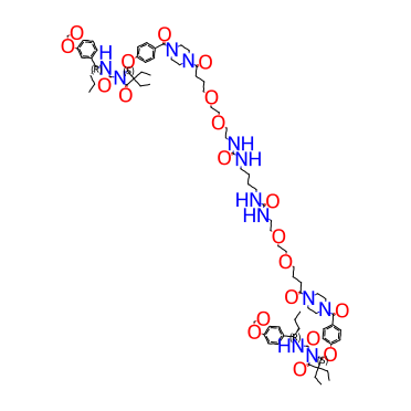 CCC[C@@H](NC(=O)N1C(=O)C(CC)(CC)[C@@H]1Oc1ccc(C(=O)N2CCN(C(=O)CCCOCCOCCNC(=O)NCCCCNC(=O)NCCOCCOCCCC(=O)N3CCN(C(=O)c4ccc(O[C@@H]5N(C(=O)N[C@H](CCC)c6ccc7c(c6)OCO7)C(=O)C5(CC)CC)cc4)CC3)CC2)cc1)c1ccc2c(c1)OCO2